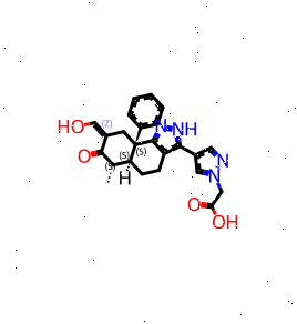 C[C@@H]1C(=O)/C(=C\O)C[C@]2(c3ccccc3)c3n[nH]c(-c4cnn(CC(=O)O)c4)c3CC[C@@H]12